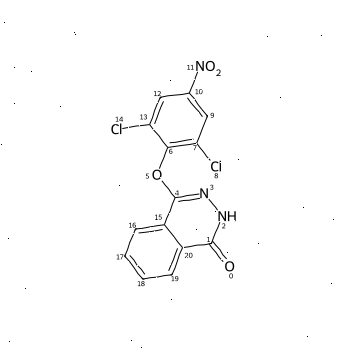 O=c1[nH]nc(Oc2c(Cl)cc([N+](=O)[O-])cc2Cl)c2ccccc12